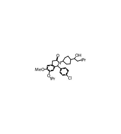 COc1cc2c(cc1OC(C)C)C(c1ccc(Cl)cc1)N(C1CCC(C(O)CC(C)C)CC1)C(=O)C2